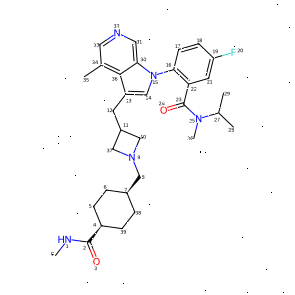 CNC(=O)[C@H]1CC[C@@H](CN2CC(Cc3cn(-c4ccc(F)cc4C(=O)N(C)C(C)C)c4cncc(C)c34)C2)CC1